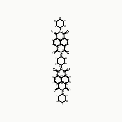 O=C1c2ccc3c4c(ccc(c24)C(=O)N1C1CCCCC1)C(=O)N(C1CCC(N2C(=O)c4ccc5c6c(ccc(c46)C2=O)C(=O)N(C2CCCCC2)C5=O)CC1)C3=O